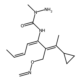 C=NOCC(=C(/C)C1CC1)/C(=C\C=C/C)NC(=O)N(C)N